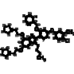 CCCCn1c(-c2ccc(Oc3ccc(Cl)c(C)c3)cc2OCc2ccccn2)nc2c(OCCN3CCCC3)cc(OCCN3CCCC3)cc21